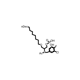 CCCCCCCCCCCCCCCCCCOCC(COP(=O)(O)O)N(Cc1ccc(F)c(Cl)c1)C(C)=O